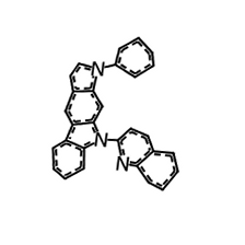 c1ccc(-n2ccc3cc4c5ccccc5n(-c5ccc6ccccc6n5)c4cc32)cc1